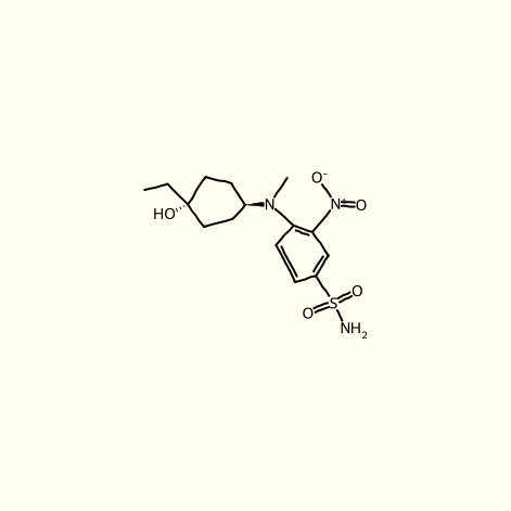 CC[C@]1(O)CC[C@H](N(C)c2ccc(S(N)(=O)=O)cc2[N+](=O)[O-])CC1